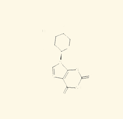 O=c1[nH]c(=O)c2ncn([C@@H]3OC[C@@H](O)[C@@H](O)[C@H]3O)c2[nH]1